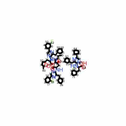 CCc1ccc(CC(Nc2ncc(-c3ccccc3F)nc2Cc2ccccc2)C(=O)OC(=O)C(Cc2ccc(C)o2)Nc2ncc(-c3cccc(F)c3)nc2Cc2ccccc2)o1.O=C(O)C(Cc1ccccc1F)Nc1ncc(-c2ccccc2)nc1Cc1ccccc1